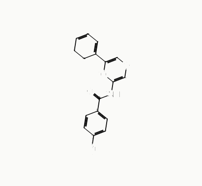 O=C(NC1=COC=C(C2=CC=CCC2)O1)c1ccc(Br)cc1